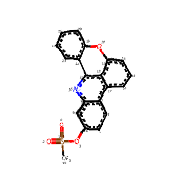 O=S(=O)(Oc1ccc2c(c1)nc1c3c(cccc32)Oc2ccccc2-1)C(F)(F)F